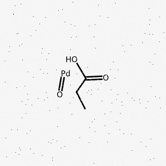 CCC(=O)O.[O]=[Pd]